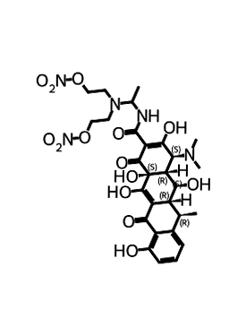 CC(NC(=O)C1=C(O)[C@@H](N(C)C)[C@@H]2[C@@H](O)[C@H]3C(=C(O)[C@]2(O)C1=O)C(=O)c1c(O)cccc1[C@@H]3C)N(CCO[N+](=O)[O-])CCO[N+](=O)[O-]